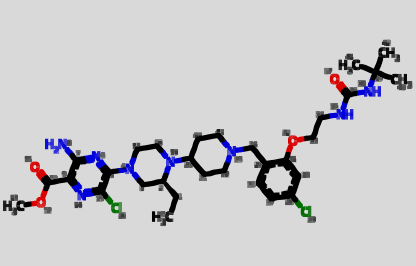 CC[C@H]1CN(c2nc(N)c(C(=O)OC)nc2Cl)CCN1C1CCN(Cc2ccc(Cl)cc2OCCNC(=O)NC(C)(C)C)CC1